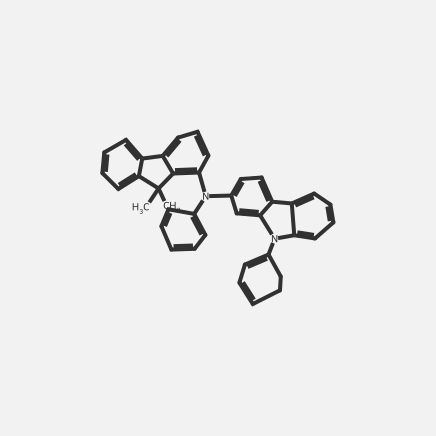 CC1(C)c2ccccc2-c2cccc(N(c3ccccc3)c3ccc4c5ccccc5n(C5=CC=CCC5)c4c3)c21